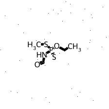 CCOP(=S)(NC=O)SC